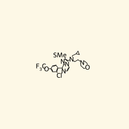 CSc1nc2c(-c3ccc(OC(F)(F)F)cc3Cl)nccn2c1N(CCN1CCOCC1)CC1CC1